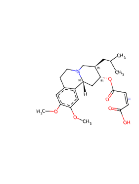 COc1cc2c(cc1OC)[C@H]1C[C@@H](OC(=O)/C=C\C(=O)O)[C@H](CC(C)C)CN1CC2